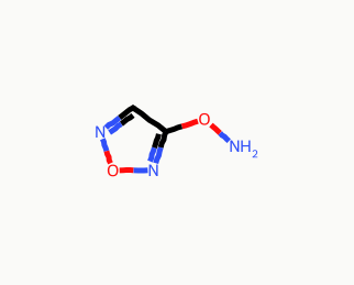 NOc1cnon1